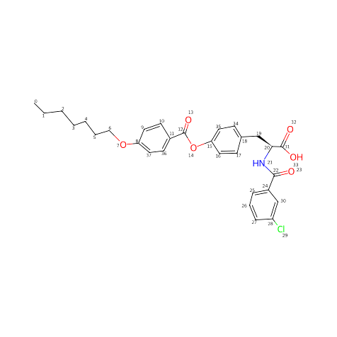 CCCCCCCOc1ccc(C(=O)Oc2ccc(C[C@H](NC(=O)c3cccc(Cl)c3)C(=O)O)cc2)cc1